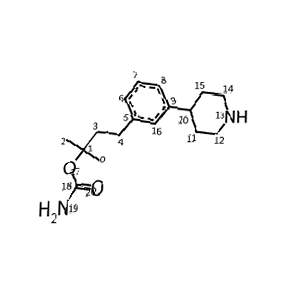 CC(C)(CCc1cccc(C2CCNCC2)c1)OC(N)=O